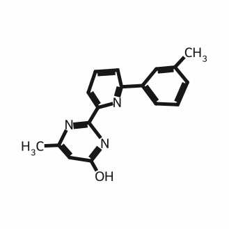 Cc1cccc(-c2cccc(-c3nc(C)cc(O)n3)n2)c1